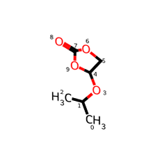 CC(C)OC1COC(=O)O1